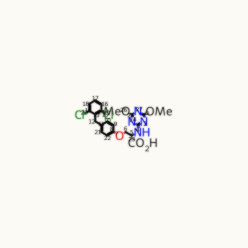 COc1nc(N[C@@H](COc2ccc(Cc3c(Cl)cccc3Cl)cc2)C(=O)O)nc(OC)n1